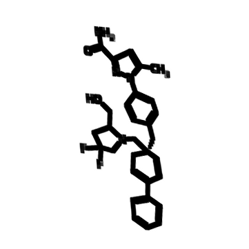 Cc1cc(C(N)=O)nn1-c1ccc(C[C@]2(CN3CC(F)(F)CC3CO)C=CC(c3ccccc3)=CC2)cc1